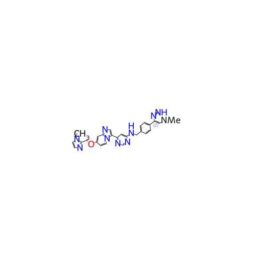 CN/C=C(\N=N)c1ccc(CNc2cc(-c3cnc4cc(OCc5nccn5C)ccn34)ncn2)cc1